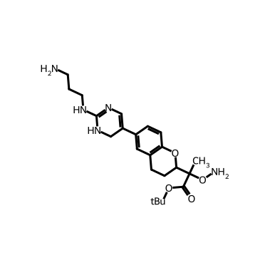 CC(C)(C)OC(=O)C(C)(ON)C1CCc2cc(C3=CN=C(NCCCN)NC3)ccc2O1